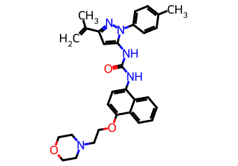 C=C(C)c1cc(NC(=O)Nc2ccc(OCCN3CCOCC3)c3ccccc23)n(-c2ccc(C)cc2)n1